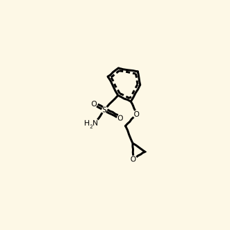 NS(=O)(=O)c1ccccc1OCC1CO1